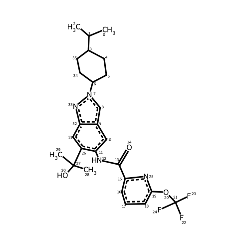 CC(C)C1CCC(n2cc3cc(NC(=O)c4cccc(OC(F)(F)F)n4)c(C(C)(C)O)cc3n2)CC1